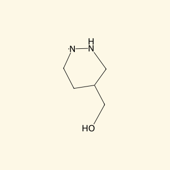 OCC1CC[N]NC1